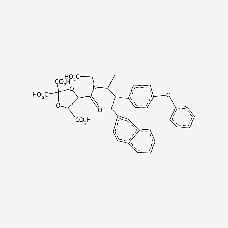 CC(C(Cc1ccc2ccccc2c1)c1ccc(Oc2ccccc2)cc1)N(CC(=O)O)C(=O)C1OC(C(=O)O)(C(=O)O)OC1C(=O)O